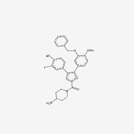 COc1ccc(-c2sc(C(=O)N3CCC(N)CC3)cc2-c2ccc(C#N)c(F)c2)cc1OCc1ccccc1